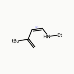 C=C(/C=C\NCC)C(C)(C)C